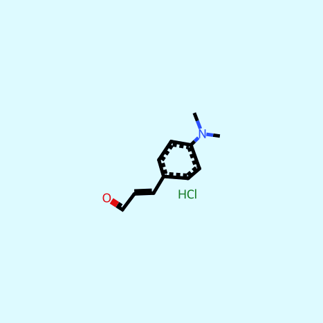 CN(C)c1ccc(C=CC=O)cc1.Cl